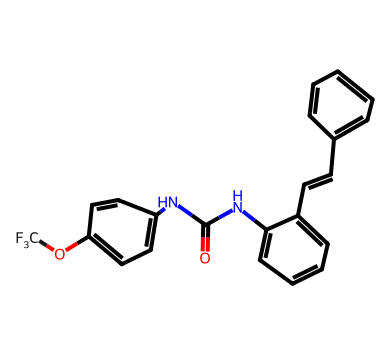 O=C(Nc1ccc(OC(F)(F)F)cc1)Nc1ccccc1C=Cc1ccccc1